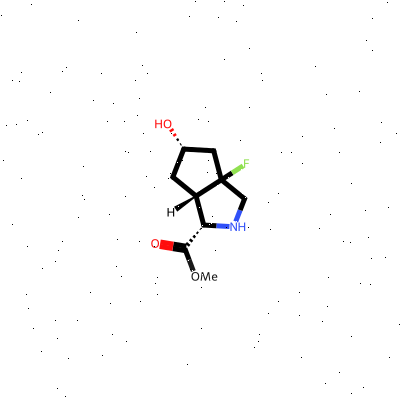 COC(=O)[C@H]1NCC2(F)C[C@@H](O)C[C@@H]12